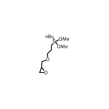 CCCC[Si](CCCOCC1CO1)(OC)OC